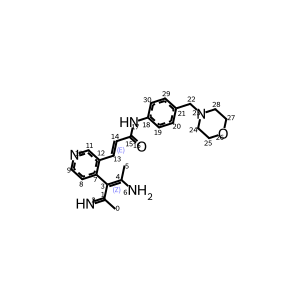 CC(=N)/C(=C(/C)N)c1ccncc1/C=C/C(=O)Nc1ccc(CN2CCOCC2)cc1